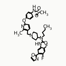 CCCCN(C(=O)Nc1cc(-c2ncco2)c(F)cc1F)C1CCN(Cc2ccc(Oc3ccc(NS(C)(=O)=O)cc3)nc2C)CC1